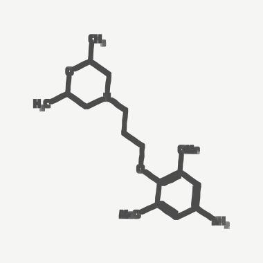 COc1cc(N)cc(OC)c1OCCCN1CC(C)OC(C)C1